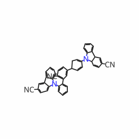 N#CC1=CC2c3ccccc3N(C3=CCC(c4ccc(C#N)c(-c5ccccc5-n5c6ccccc6c6cc(C#N)ccc65)c4)C=C3)C2C=C1